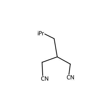 CC(C)CC(CC#N)CC#N